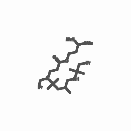 CSC(CCOC(=O)CCN(CC(C)C)C(C)(C)CC(C)CNC(C)(C)CC(C)C)SC